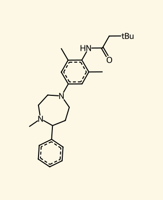 Cc1cc(N2CCC(c3ccccc3)N(C)CC2)cc(C)c1NC(=O)CC(C)(C)C